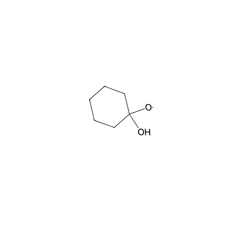 [O]C1(O)CCCCC1